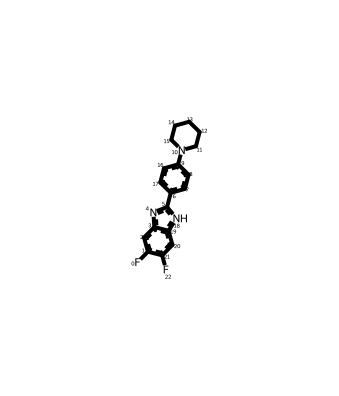 Fc1cc2nc(-c3ccc(N4CCCCC4)cc3)[nH]c2cc1F